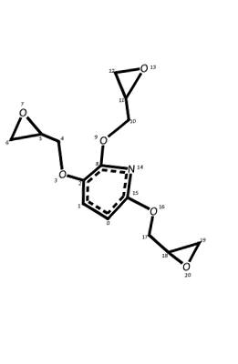 c1cc(OCC2CO2)c(OCC2CO2)nc1OCC1CO1